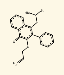 C=CCOc1c(-c2ccccc2)n(CC(CC)CCCC)c2ccccc2c1=O